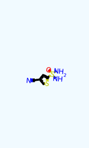 N#Cc1csc(S(=N)(N)=O)c1